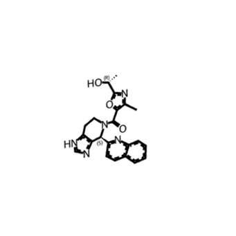 Cc1nc([C@@H](C)O)oc1C(=O)N1CCc2[nH]cnc2[C@@H]1c1ccc2ccccc2n1